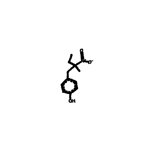 CCC(C)(Cc1ccc(O)cc1)[N+](=O)[O-]